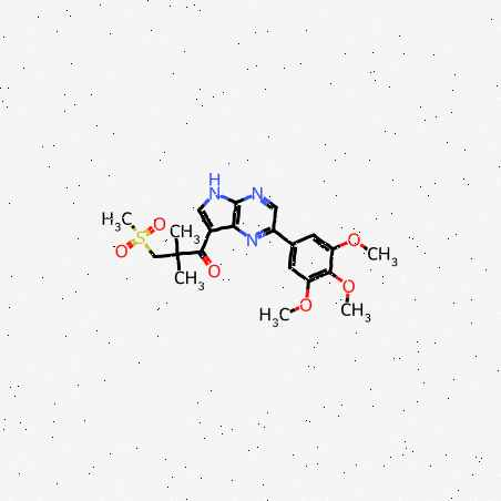 COc1cc(-c2cnc3[nH]cc(C(=O)C(C)(C)CS(C)(=O)=O)c3n2)cc(OC)c1OC